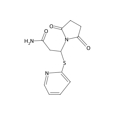 NC(=O)CC(Sc1ccccn1)N1C(=O)CCC1=O